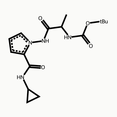 CC(NC(=O)OC(C)(C)C)C(=O)Nn1cccc1C(=O)NC1CC1